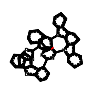 c1ccc(-c2nc(-c3cccc4oc5ccccc5c34)nc(-n3c4ccccc4c4ccc5c6ccccc6n(-c6ccc(-c7nc8ccccc8o7)cc6)c5c43)n2)cc1